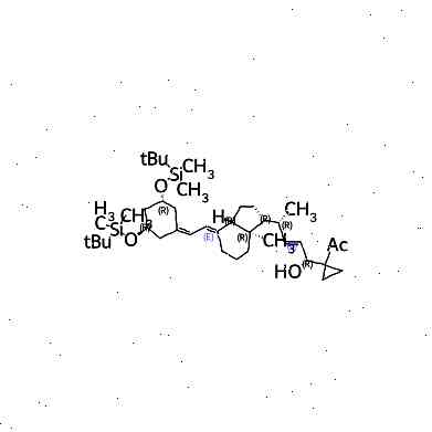 CC(=O)C1([C@H](O)/C=C/[C@@H](C)[C@H]2CC[C@H]3/C(=C/C=C4C[C@@H](O[Si](C)(C)C(C)(C)C)C[C@H](O[Si](C)(C)C(C)(C)C)C4)CCC[C@]23C)CC1